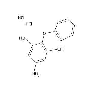 Cc1cc(N)cc(N)c1Oc1ccccc1.Cl.Cl